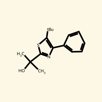 CC(C)(C)c1sc(C(C)(C)O)nc1-c1ccccc1